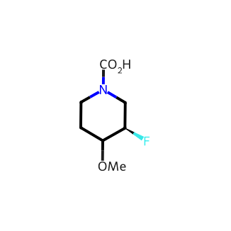 COC1CCN(C(=O)O)C[C@H]1F